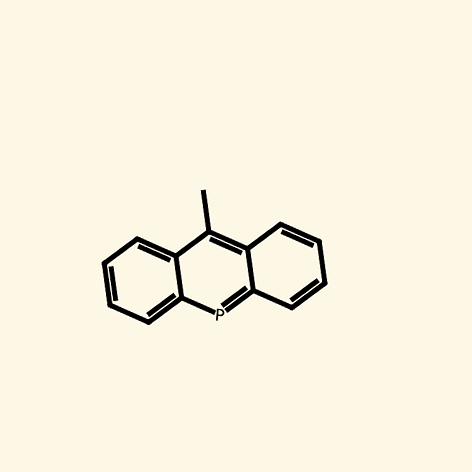 Cc1c2ccccc2pc2ccccc12